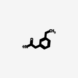 CCc1cccc(CC([NH])=O)c1